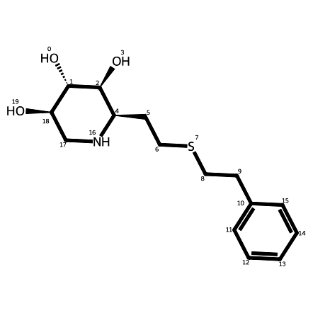 O[C@@H]1[C@@H](O)[C@@H](CCSCCc2ccccc2)NC[C@H]1O